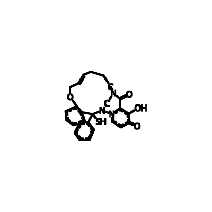 O=C1c2c(O)c(=O)ccn2N2CN1CCC/C=C/COc1ccccc1[C@@]2(S)c1ccccc1